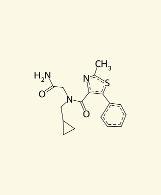 Cc1nc(C(=O)N(CC(N)=O)CC2CC2)c(-c2ccccc2)s1